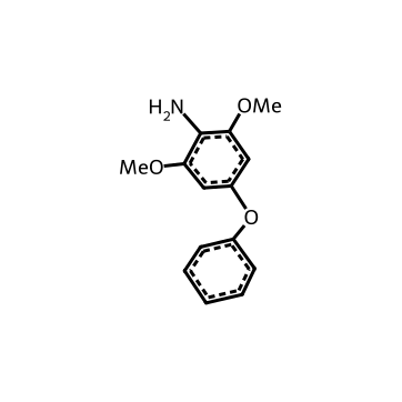 COc1cc(Oc2ccccc2)cc(OC)c1N